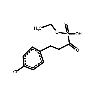 CCOP(=O)(O)C(=O)CCc1ccc(Cl)cc1